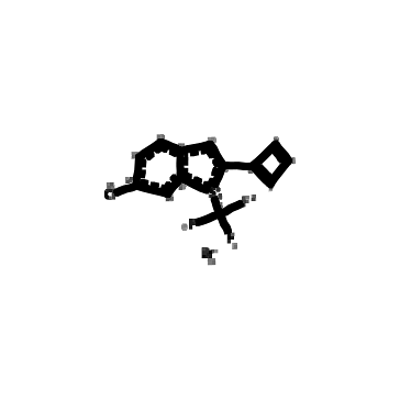 FC(F)(F)[s+]1c(C2=CC=C2)cc2ccc(Cl)cc21.[Br-]